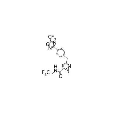 Cn1nc(Cc2ccc(-c3noc(C(F)(F)F)n3)cc2)cc1C(=O)NCC(F)(F)F